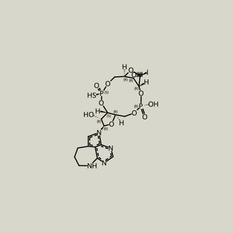 O=[P@@]1(O)OC[C@H]2O[C@@H](n3cc4c5c(ncnc53)NCCC4)[C@H](O)[C@@H]2O[P@@](=O)(S)OC[C@H]2O[C@@H](I)[C@H](O1)[C@@H]2O